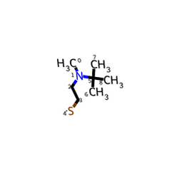 CN(CC[S])C(C)(C)C